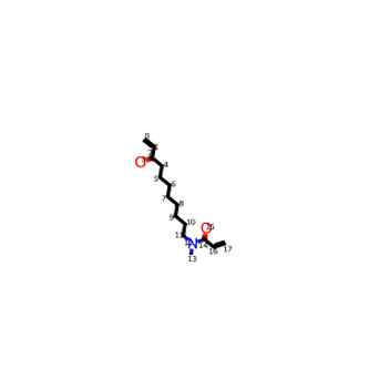 C=CC(=O)CCCCCCCCN(C)C(=O)C=C